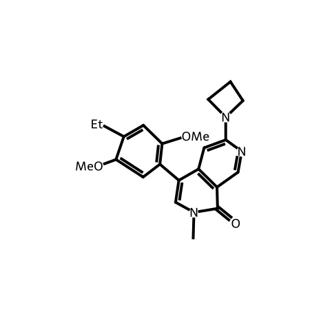 CCc1cc(OC)c(-c2cn(C)c(=O)c3cnc(N4CCC4)cc23)cc1OC